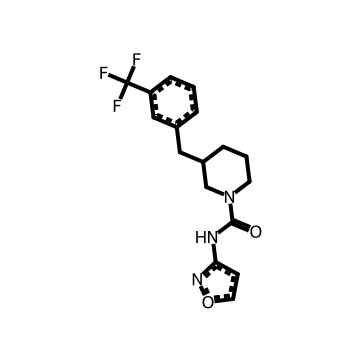 O=C(Nc1ccon1)N1CCCC(Cc2cccc(C(F)(F)F)c2)C1